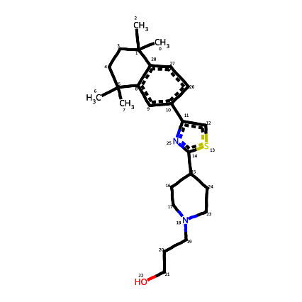 CC1(C)CCC(C)(C)c2cc(-c3csc(C4CCN(CCCO)CC4)n3)ccc21